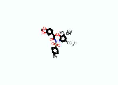 CCCc1cc(C(=O)O)ccc1OC(C(=O)NS(=O)(=O)c1ccc(C(C)C)cc1)c1ccc2c(c1)OCO2.[KH].[KH]